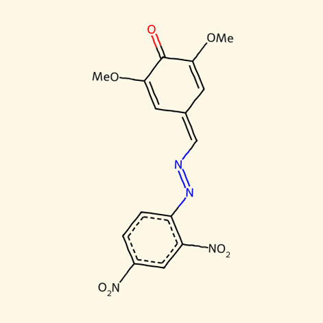 COC1=CC(=CN=Nc2ccc([N+](=O)[O-])cc2[N+](=O)[O-])C=C(OC)C1=O